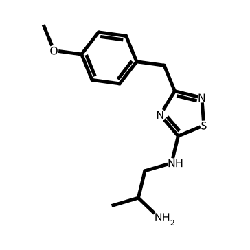 COc1ccc(Cc2nsc(NCC(C)N)n2)cc1